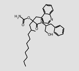 CCCCCCCCC(C)CC(Cc1ccnc2ccccc12)(OC(N)=O)C(=O)NC(CO)Cc1ccccc1